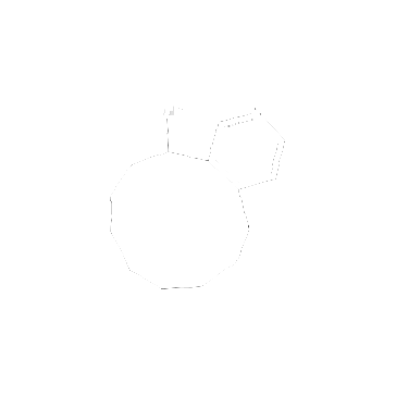 CCCC1CCCCCCCCc2ccncc21